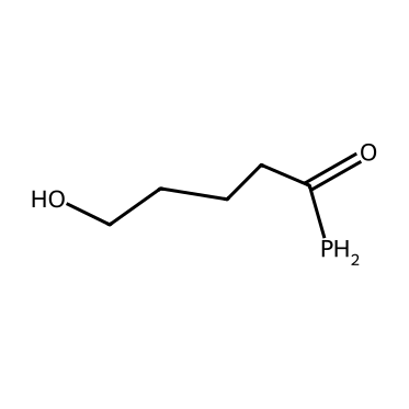 O=C(P)CCCCO